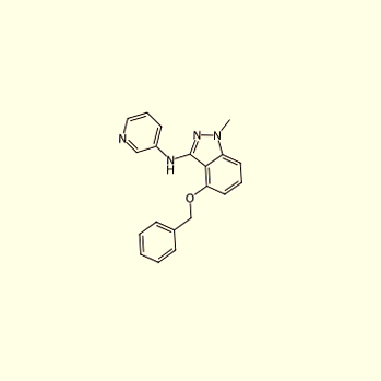 Cn1nc(Nc2cccnc2)c2c(OCc3ccccc3)cccc21